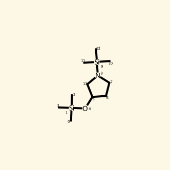 C[Si](C)(C)OC1CCN([Si](C)(C)C)C1